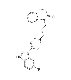 O=C1CCc2ccccc2N1CCCN1CC=C(c2c[nH]c3ccc(F)cc23)CC1